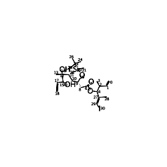 C=C[C@H](C)C(OC(=O)C[C@H](CC[C@@](C)(O)[C@@H](O)C=C)O[Si](C)(C)C(C)(C)C)/C(C)=C/I